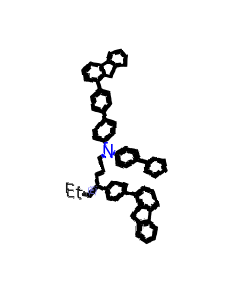 CC/C=C(\CCCN(c1ccc(-c2ccccc2)cc1)c1ccc(-c2ccc(-c3cccc4c3Cc3ccccc3-4)cc2)cc1)c1ccc(-c2cccc3c2Cc2ccccc2-3)cc1